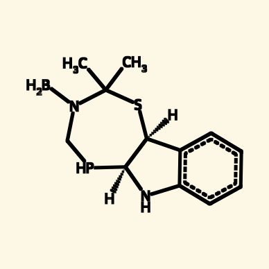 BN1CP[C@@H]2Nc3ccccc3[C@@H]2SC1(C)C